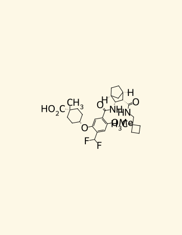 COc1cc(C(F)F)c(O[C@H]2CC[C@@](C)(C(=O)O)CC2)cc1C(=O)N[C@@H]1[C@H]2CC[C@H](C2)[C@@H]1C(=O)NCC1(C)CCC1